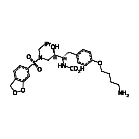 CC(C)CN(C[C@@H](O)[C@H](Cc1ccc(OCCCCN)cc1)NC(=O)O)S(=O)(=O)c1ccc2c(c1)OOC2